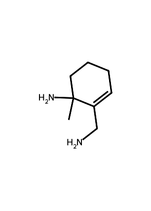 CC1(N)CCCC=C1CN